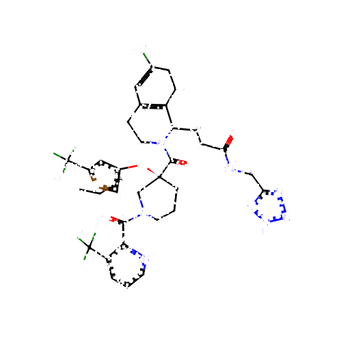 CCC[C@H]1N(C(=O)c2ncccc2C(F)(F)F)CCC[C@@]1(Oc1csc(C(F)(F)F)c1)C(=O)N1CCC2=C(CCC(Cl)=C2)C1CCC(=O)NCc1nn[nH]n1